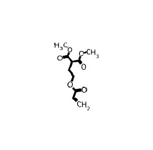 C=CC(=O)OCCC(C(=O)OC)C(=O)OC